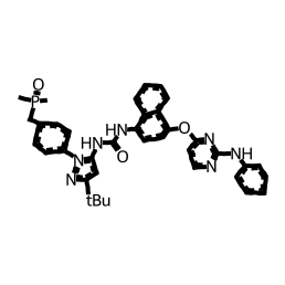 CC(C)(C)c1cc(NC(=O)Nc2ccc(Oc3ccnc(Nc4ccccc4)n3)c3ccccc23)n(-c2ccc(CP(C)(C)=O)cc2)n1